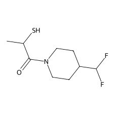 CC(S)C(=O)N1CCC(C(F)F)CC1